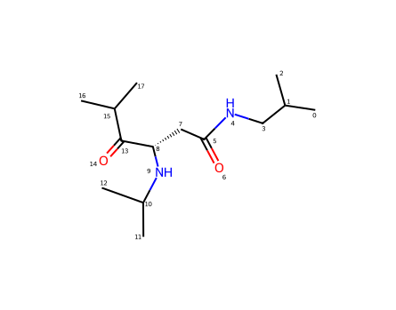 CC(C)CNC(=O)C[C@H](NC(C)C)C(=O)C(C)C